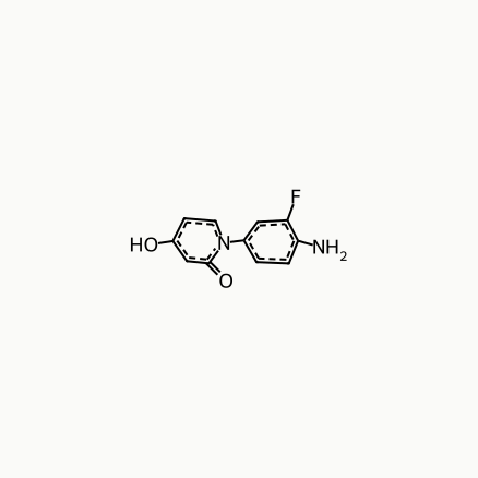 Nc1ccc(-n2ccc(O)cc2=O)cc1F